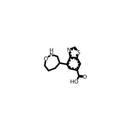 O=C(O)c1cc(C2CCCONC2)c2ncsc2c1